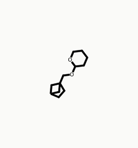 C1CCC(OCC23CCC(C2)C3)OC1